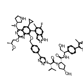 CO[C@@H](C)COc1nc(N(C)[C@H]2CCNC2)c2cc(C3CC3)c(-c3c(C)c(F)cc4[nH]ncc34)c(OCc3ccc(-c4cn([C@H](C(=O)N5C[C@H](O)C[C@H]5C(=O)N[C@@H](CO)c5ccc(-c6scnc6C)cc5)C(C)C)nn4)cc3)c2n1